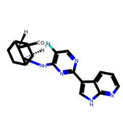 O=C(O)[C@H]1C2CCC(CC2)[C@@H]1Nc1nc(-c2c[nH]c3ncccc23)ncc1F